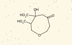 O=C1CCOCC(C(=O)O)C(O)(C(=O)O)C1